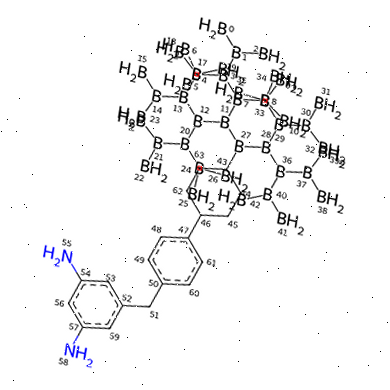 BB(B)B(B(B)B)B(B(B)B)B(B(B(B(B)B)B(B)B)B(B(B)B)B(B)B)B(B(B(B(B)B)B(B)B)B(B(B)B)B(B)B)C1CCC(c2ccc(Cc3cc(N)cc(N)c3)cc2)CC1